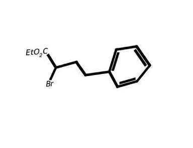 CCOC(=O)C(Br)CCc1ccccc1